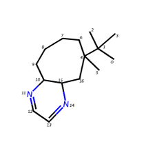 CC(C)(C)C1(C)CCCCC2N=CC=NC2C1